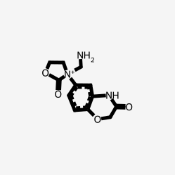 NC[N+]1(c2ccc3c(c2)NC(=O)CO3)CCOC1=O